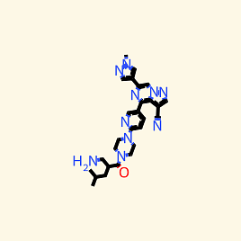 CC(C)CC(CN)C(=O)N1CCN(c2ccc(-c3nc(-c4cnn(C)c4)cn4ncc(C#N)c34)cn2)CC1